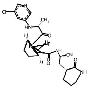 C[C@@H](Nc1cncc(Cl)c1)C(=O)N1[C@@H]2CC[C@H]([C@H]1C(=O)N[C@@H](C#N)C[C@H]1CCCNC1=O)C(F)(F)C2